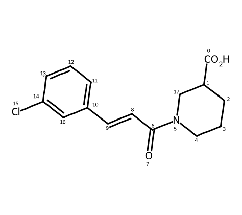 O=C(O)C1CCCN(C(=O)/C=C/c2cc[c]c(Cl)c2)C1